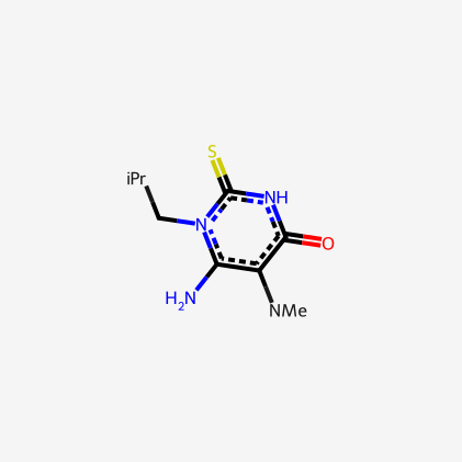 CNc1c(N)n(CC(C)C)c(=S)[nH]c1=O